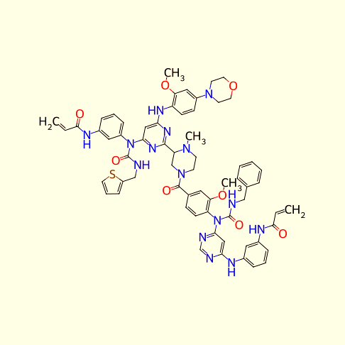 C=CC(=O)Nc1cccc(Nc2cc(N(C(=O)NCc3ccccc3)c3ccc(C(=O)N4CCN(C)C(c5nc(Nc6ccc(N7CCOCC7)cc6OC)cc(N(C(=O)NCc6cccs6)c6cccc(NC(=O)C=C)c6)n5)C4)cc3OC)ncn2)c1